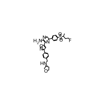 CC(CCF)S(=O)(=O)c1ccc(-c2cnc(N)c(-c3cc(-c4ccc(CN[C@@H]5CCOC5)cc4)no3)n2)cc1